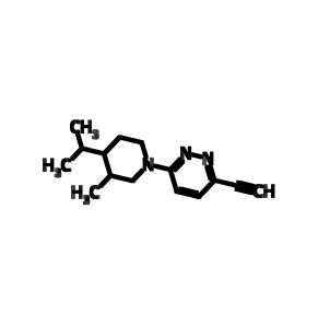 C#Cc1ccc(N2CCC(C(C)C)C(C)C2)nn1